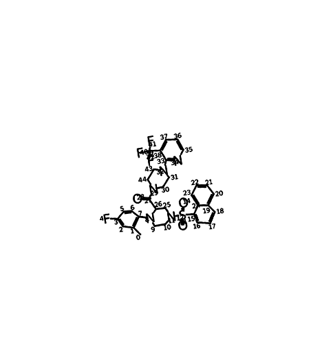 Cc1cc(F)ccc1N1CCN(S(=O)(=O)c2cccc3ccccc23)CC1C(=O)N1CCN(c2ncccc2C(F)(F)F)CC1